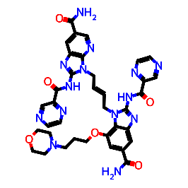 NC(=O)c1cnc2c(c1)nc(NC(=O)c1cnccn1)n2CC=CCn1c(NC(=O)c2cnccn2)nc2cc(C(N)=O)cc(OCCCN3CCOCC3)c21